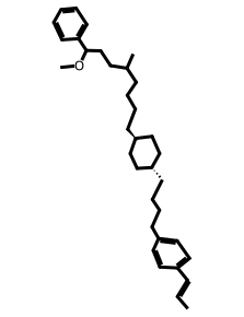 CC=Cc1ccc(CCCC[C@H]2CC[C@H](CCCCC(C)CCC(OC)c3ccccc3)CC2)cc1